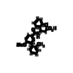 COc1ccc(C(=O)NC(CC(=O)O)c2ccccc2Cl)nc1-c1ccccc1C